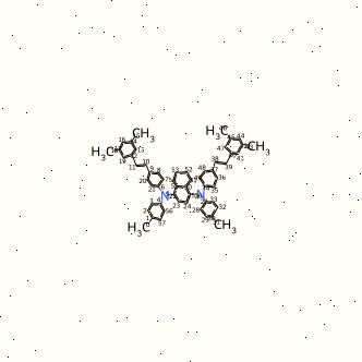 Cc1ccc(N(c2ccc(/C=C/c3cc(C)cc(C)c3)cc2)c2ccc(N(c3ccc(C)cc3)c3ccc(/C=C/c4cc(C)cc(C)c4)cc3)c3ccccc23)cc1